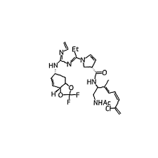 C=C/N=C(\N=C(/CC)N1C=C[C@H](C(=O)NC(CNC(C)=O)/C(C)=C/C=C\C(=C)Cl)C1)N[C@H]1C=C[C@H]2OC(F)(F)OC2C1